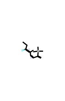 C=C(/C=C\C(C)=C(/F)CC)[Si](C)(C)C